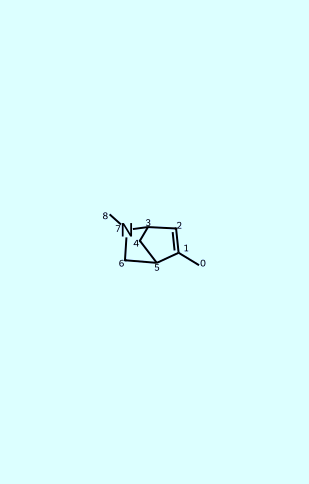 CC1=CC2CC1CN2C